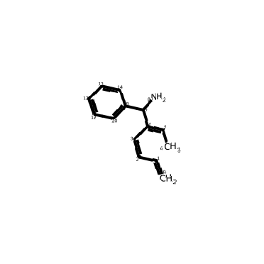 C=C/C=C\C(=C/C)C(N)c1ccccc1